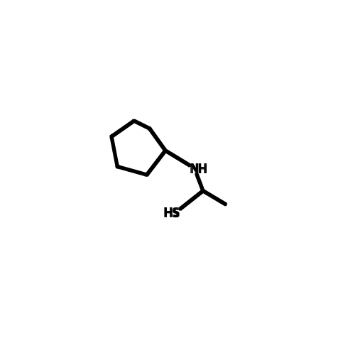 CC(S)NC1CCCCC1